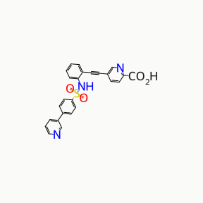 O=C(O)c1ccc(C#Cc2ccccc2NS(=O)(=O)c2ccc(-c3cccnc3)cc2)cn1